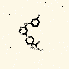 COC(=O)C1(N)CCN(c2cc(Nc3cccc(Br)c3)ncn2)CC1